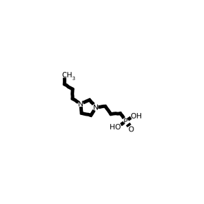 CCCCN1CCN(CCCP(=O)(O)O)C1